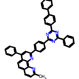 Cc1ccc2ccc3c(-c4ccccc4)cc(-c4ccc(-c5nc(-c6ccccc6)nc(-c6ccc(-c7ccccc7)cc6)n5)cc4)nc3c2n1